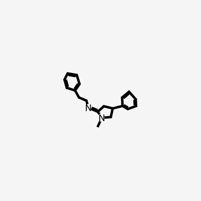 CN1CC(c2ccccc2)CC1=NCCc1ccccc1